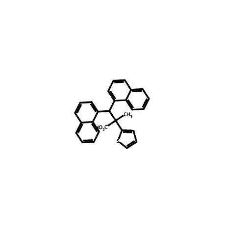 CC(C(=O)O)(c1cccs1)C(c1cccc2ccccc12)c1cccc2ccccc12